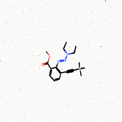 CCN(CC)/N=N/c1c(C#C[Si](C)(C)C)cccc1C(=O)OC